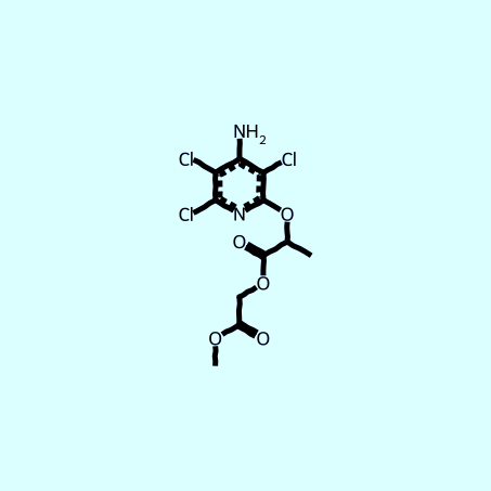 COC(=O)COC(=O)C(C)Oc1nc(Cl)c(Cl)c(N)c1Cl